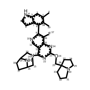 Cc1cc2[nH]ccc2c(-c2ncc3c(N4CC5CCC(C4)N5)nc(OCC45CCCN4CCC5)nc3c2F)c1C